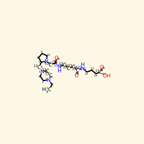 CCN1CCN([13CH2]C2CCCN2[13CH2]C(=O)[15NH][13CH2][13CH2][13CH2][13C](=O)[15NH]CCC[13C](=O)O)[13CH2][13CH2]1